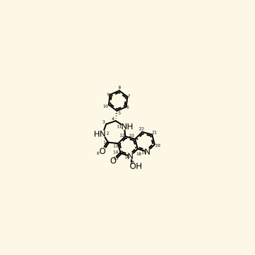 O=C1NC[C@H](c2ccccc2)Nc2c1c(=O)n(O)c1ncccc21